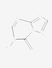 CCCn1cnc2ncnn2c1=S